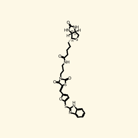 O=C(CCCC[C@H]1SC[C@H]2NC(=O)N[C@H]21)NCCCN1C(=O)SC(=Cc2ccc(Sc3nc4ccccc4[nH]3)o2)C1=O